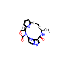 C[C@@H]1CCCc2cccc(n2)[C@H]2COC(=O)N2c2ccn3ncc(c3n2)C(=O)N1